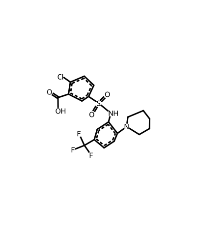 O=C(O)c1cc(S(=O)(=O)Nc2cc(C(F)(F)F)ccc2N2CCCCC2)ccc1Cl